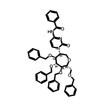 O=C(Nc1ccn([C@@H]2CO[C@H](COCc3ccccc3)[C@@H](OCc3ccccc3)[C@H](OCc3ccccc3)[C@H]2OCc2ccccc2)c(=O)n1)c1ccccc1